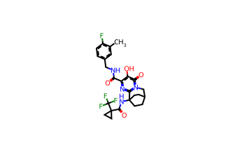 Cc1cc(CNC(=O)c2nc3n(c(=O)c2O)CC2CCC3(NC(=O)C3(C(F)(F)F)CC3)CC2)ccc1F